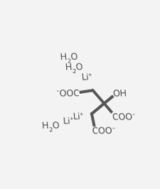 O.O.O.O=C([O-])CC(O)(CC(=O)[O-])C(=O)[O-].[Li+].[Li+].[Li+]